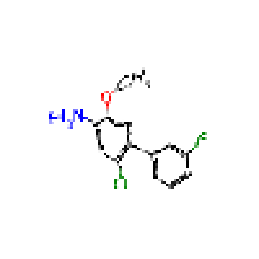 COc1cc(-c2cccc(F)c2)c(Cl)cc1N